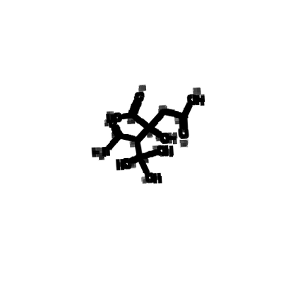 NC(=O)C(C(O)(O)O)C(O)(CC(=O)O)C(=O)O